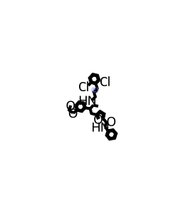 CC(NC/C=C/c1c(Cl)cccc1Cl)C(Cc1ccc(C(=O)Nc2ccccc2)o1)c1ccc2c(c1)OCO2